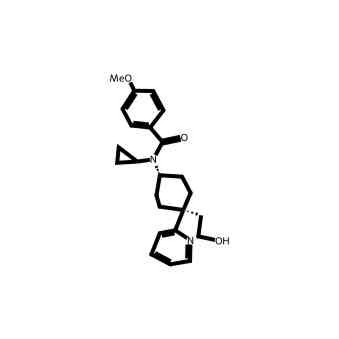 COc1ccc(C(=O)N(C2CC2)[C@H]2CC[C@](CCO)(c3ccccn3)CC2)cc1